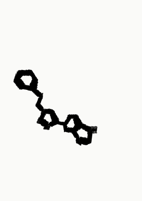 c1ccc(SCn2cc(-c3ccc4[nH]cnc4c3)nn2)cc1